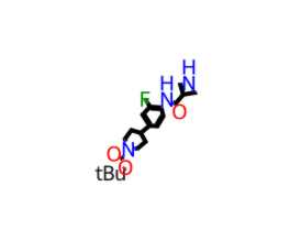 CC(C)(C)OC(=O)N1CCC(c2ccc(NC(=O)C3CNC3)c(F)c2)CC1